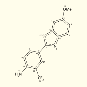 COc1ccc2nc(-c3ccc(N)c(C(F)(F)F)c3)sc2c1